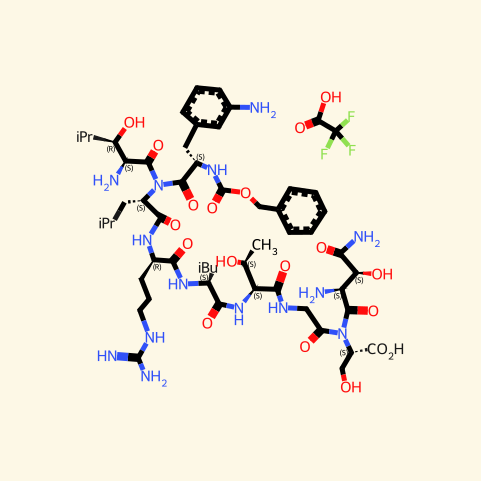 CCC(C)[C@H](NC(=O)[C@@H](CCCNC(=N)N)NC(=O)[C@H](CC(C)C)N(C(=O)[C@H](Cc1cccc(N)c1)NC(=O)OCc1ccccc1)C(=O)[C@@H](N)[C@H](O)C(C)C)C(=O)N[C@H](C(=O)NCC(=O)N(C(=O)[C@@H](N)[C@H](O)C(N)=O)[C@@H](CO)C(=O)O)[C@H](C)O.O=C(O)C(F)(F)F